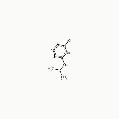 CC(C)Oc1n[c]cc(Cl)n1